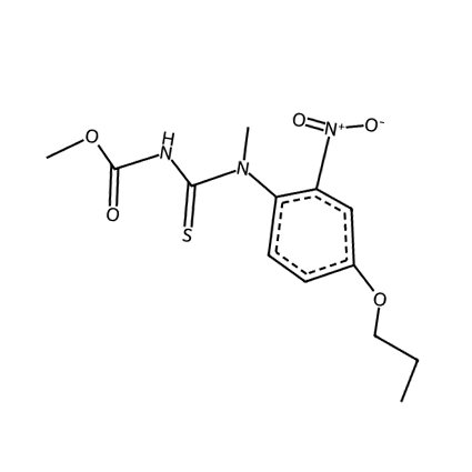 CCCOc1ccc(N(C)C(=S)NC(=O)OC)c([N+](=O)[O-])c1